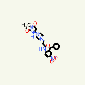 Cn1c(=O)cc(N2CCN(CCCNc3ccc([N+](=O)[O-])cc3C(=O)c3ccccc3)CC2)[nH]c1=O